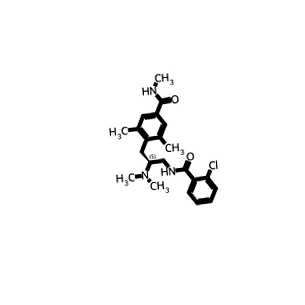 CNC(=O)c1cc(C)c(C[C@@H](CNC(=O)c2ccccc2Cl)N(C)C)c(C)c1